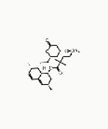 CC(=O)OCCC(C)(C)C(=O)O[C@H]1C[C@@H](C)C=C2C=C[C@H](C)[C@H](CC[C@@H]3C[C@@H](O)CC(=O)O3)[C@H]21